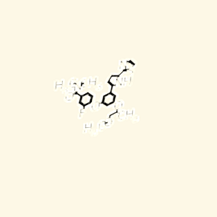 COC[C@H](C)Oc1cc(Oc2ccc(C(=O)N(C)C)cc2F)cc(C2=CCC(c3nccs3)N2)c1